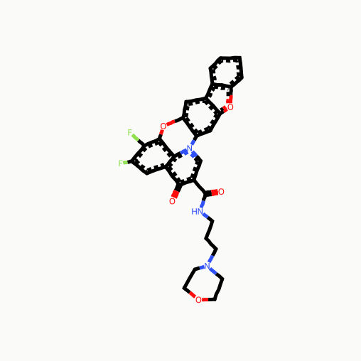 O=C(NCCCN1CCOCC1)c1cn2c3c(c(F)c(F)cc3c1=O)Oc1cc3c(cc1-2)oc1ccccc13